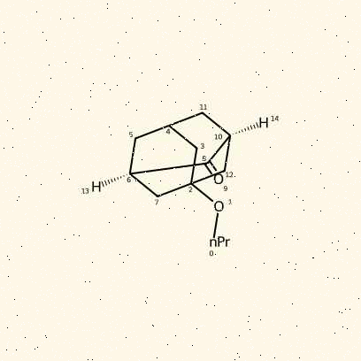 CCCOC12CC3C[C@H](C1)C(=O)[C@@H](C3)C2